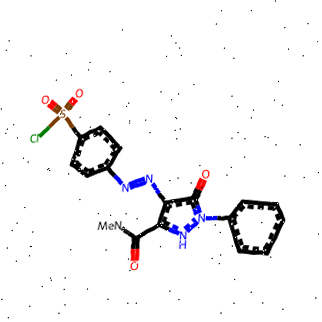 CNC(=O)c1[nH]n(-c2ccccc2)c(=O)c1/N=N/c1ccc(S(=O)(=O)Cl)cc1